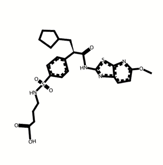 COc1ccc2nc(NC(=O)[C@H](CC3CCCC3)c3ccc(S(=O)(=O)NCCCC(=O)O)cc3)sc2n1